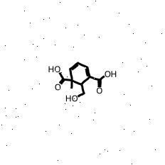 CC1(C(=O)O)C=CC=C(C(=O)O)C1CO